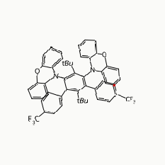 CC(C)(C)c1c(-c2ccc(C(F)(F)F)cc2)c(N2c3ccccc3Oc3ccccc32)c(C(C)(C)C)c(N2c3ccccc3Oc3ccccc32)c1-c1ccc(C(F)(F)F)cc1